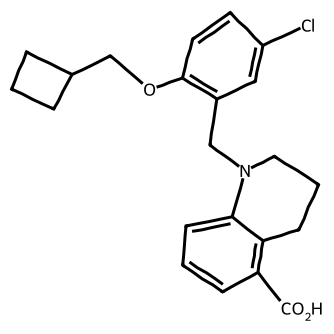 O=C(O)c1cccc2c1CCCN2Cc1cc(Cl)ccc1OCC1CCC1